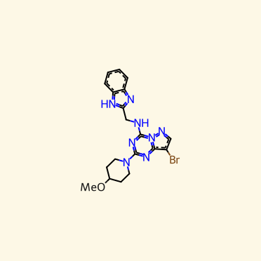 COC1CCN(c2nc(NCc3nc4ccccc4[nH]3)n3ncc(Br)c3n2)CC1